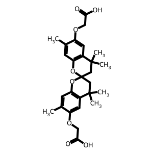 Cc1cc2c(cc1OCC(=O)O)C(C)(C)CC1(CC(C)(C)c3cc(OCC(=O)O)c(C)cc3O1)O2